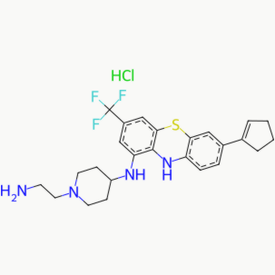 Cl.NCCN1CCC(Nc2cc(C(F)(F)F)cc3c2Nc2ccc(C4=CCCC4)cc2S3)CC1